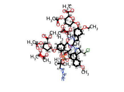 CCOc1cc2cc(C(=O)N3C[C@@H](CCl)c4c3cc(OS(=O)(=O)Oc3cc(C(=O)N(C)CC(C)(C)COCC(C)(C)CN=[N+]=[N-])ccc3O[C@@H]3O[C@H](C(=O)OC)[C@@H](OC(C)=O)[C@H](OC(C)=O)[C@H]3OC(C)=O)c3ccc(OC)cc43)[nH]c2cc1OC1O[C@H](C(=O)OC)[C@@H](OC(C)=O)[C@H](OC(C)=O)[C@H]1OC(C)=O